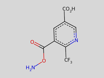 NOC(=O)c1cc(C(=O)O)cnc1C(F)(F)F